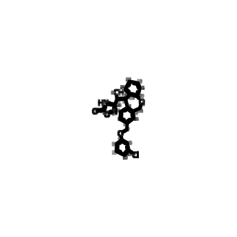 CC(=C1c2ccc(COc3cccc(Cl)c3)cc2COc2ccccc21)c1noc(=O)[nH]1